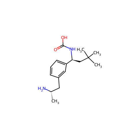 C[C@H](N)Cc1cccc([C@H](CC(C)(C)C)NC(=O)O)c1